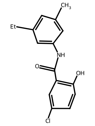 CCc1cc(C)cc(NC(=O)c2cc(Cl)ccc2O)c1